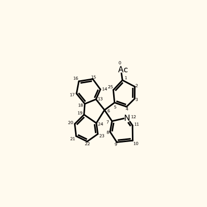 CC(=O)c1cccc(C2(c3ccccn3)c3ccccc3-c3ccccc32)c1